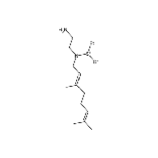 CC[S+]([O-])N(C/C=C(\C)CCC=C(C)C)CCN